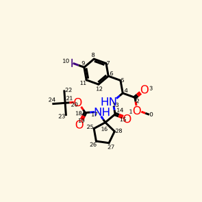 COC(=O)C(Cc1ccc(I)cc1)NC(=O)C1(NC(=O)OC(C)(C)C)CCCC1